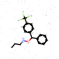 CCCNOC(c1ccccc1)c1ccc(C(F)(F)F)cc1